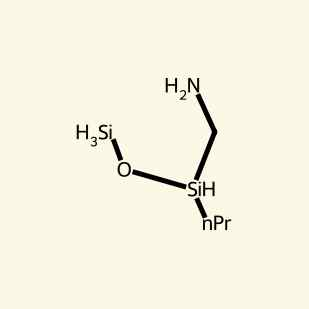 CCC[SiH](CN)O[SiH3]